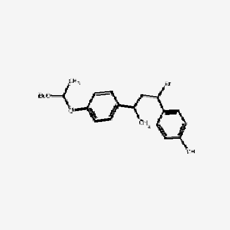 CCC(CC(C)c1ccc(OC(C)OCC(C)C)cc1)c1ccc(O)cc1